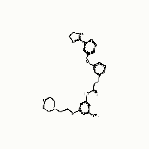 O=C(CCc1cccc(Oc2ccnc(C3=NCCN3)c2)c1)Nc1cc(OCCN2CCOCC2)cc(C(F)(F)F)c1